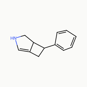 C1=C2CC(c3ccccc3)C2CN1